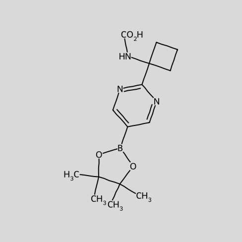 CC1(C)OB(c2cnc(C3(NC(=O)O)CCC3)nc2)OC1(C)C